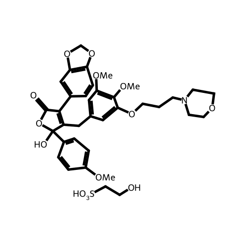 COc1ccc(C2(O)OC(=O)C(c3ccc4c(c3)OCO4)=C2Cc2cc(OC)c(OC)c(OCCCN3CCOCC3)c2)cc1.O=S(=O)(O)CCO